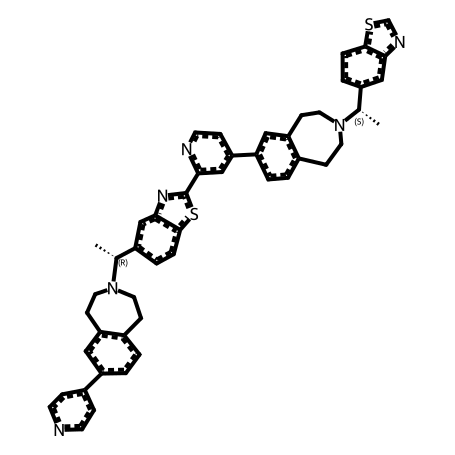 C[C@H](c1ccc2sc(-c3cc(-c4ccc5c(c4)CCN([C@@H](C)c4ccc6scnc6c4)CC5)ccn3)nc2c1)N1CCc2ccc(-c3ccncc3)cc2CC1